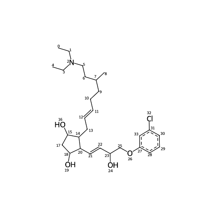 CCN(CC)CCC(C)CCC=CCC1C(O)CC(O)C1C=CC(O)COc1cccc(Cl)c1